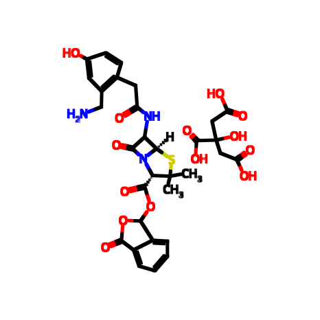 CC1(C)S[C@@H]2C(NC(=O)Cc3ccc(O)cc3CN)C(=O)N2[C@H]1C(=O)OC1OC(=O)c2ccccc21.O=C(O)CC(O)(CC(=O)O)C(=O)O